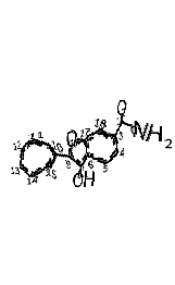 NC(=O)c1ccc2c(O)c(-c3ccccc3)oc2c1